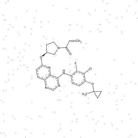 C=CC(=O)N1CC[C@H](Oc2ccc3ncnc(Nc4ccc(OC5(C)CC5)c(Cl)c4F)c3n2)C1